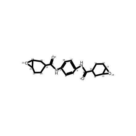 O=C(Nc1ccc(NC(=O)C2CCC3OC3C2)cc1)C1CCC2OC2C1